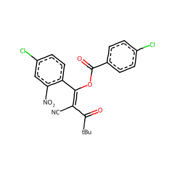 CC(C)(C)C(=O)C(C#N)=C(OC(=O)c1ccc(Cl)cc1)c1ccc(Cl)cc1[N+](=O)[O-]